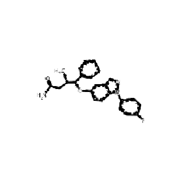 CC(CC(N)=O)C(Oc1ccc2c(cnn2-c2ccc(F)cc2)c1)c1ccccc1